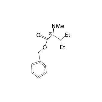 CCC(CC)[C@H](NC)C(=O)OCc1ccccc1